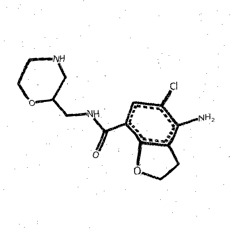 Nc1c(Cl)cc(C(=O)NCC2CNCCO2)c2c1CCO2